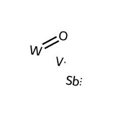 [O]=[W].[Sb].[V]